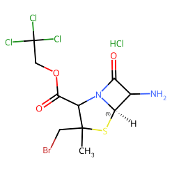 CC1(CBr)S[C@@H]2C(N)C(=O)N2C1C(=O)OCC(Cl)(Cl)Cl.Cl